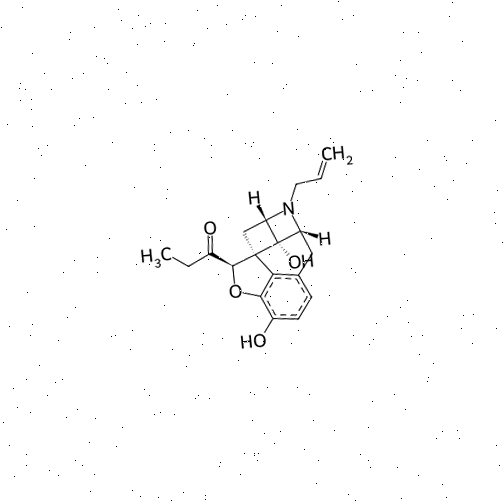 C=CCN1[C@H]2C[C@]34c5c(ccc(O)c5O[C@H]3C(=O)CC)C[C@@H]1[C@]24O